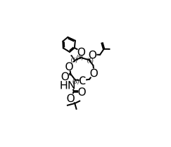 C=C(C)CO[C@H]1COCC[C@H](NC(=O)OC(C)(C)C)C(=O)O[C@@H](C)[C@@H]1Oc1ccccc1